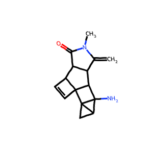 C=C1C2C(C(=O)N1C)C1C=CC13C2C1(N)C2CC213